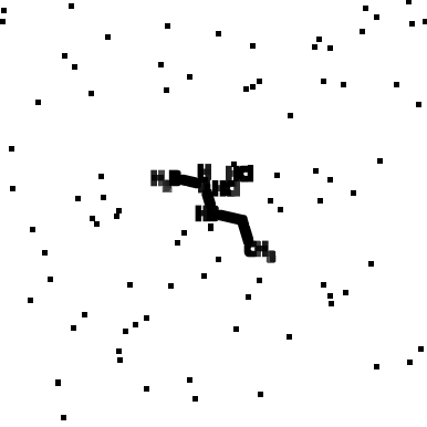 BBBCC.Cl.Cl